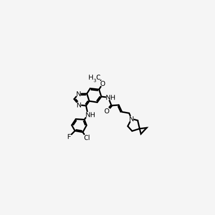 COc1cc2ncnc(Nc3ccc(F)c(Cl)c3)c2cc1NC(=O)C=CCN1CCC2(CC2)C1